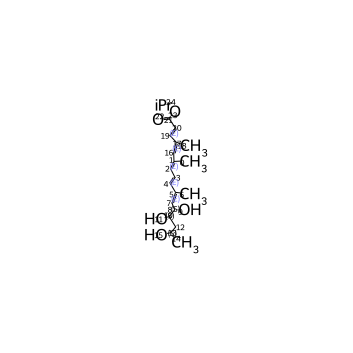 CC(=C\C=C\C(C)=C\[C@H](O)[C@@H](O)C[C@H](C)O)/C=C(C)/C=C/C(=O)OC(C)C